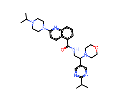 CC(C)c1ncc(C(CNC(=O)c2cccc3nc(N4CCN(C(C)C)CC4)ccc23)N2CCOCC2)cn1